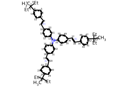 CCC(C)(CC)c1ccc(/C=C/c2ccc(N(c3ccc(/C=C/c4ccc(C(C)(CC)CC)cc4)cc3)c3ccc(/C=C/c4ccc(C(C)(CC)CC)cc4)cc3)cc2)cc1